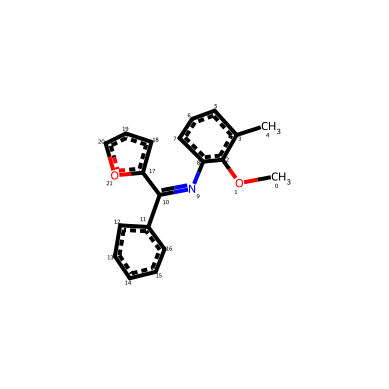 COc1c(C)cccc1N=C(c1ccccc1)c1ccco1